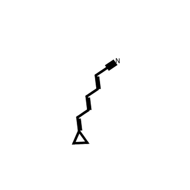 N#CC=CC=CC=C1CC1